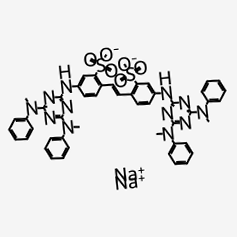 CN(c1ccccc1)c1nc(Nc2ccc(C=Cc3ccc(Nc4nc(N(C)c5ccccc5)nc(N(C)c5ccccc5)n4)cc3S(=O)(=O)[O-])c(S(=O)(=O)[O-])c2)nc(N(C)c2ccccc2)n1.[Na+].[Na+]